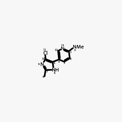 CNc1ccc(-c2[nH]c(C)nc2Cl)cn1